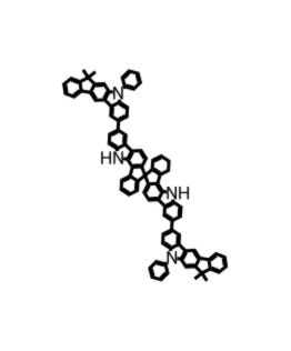 CC1(C)c2ccccc2-c2cc3c4cc(-c5ccc6[nH]c7c8c(ccc7c6c5)C5(C6=C8CCC=C6)c6ccccc6-c6c5ccc5c6[nH]c6ccc(-c7ccc8c(c7)c7cc9c(cc7n8-c7ccccc7)C(C)(C)c7ccccc7-9)cc65)ccc4n(-c4ccccc4)c3cc21